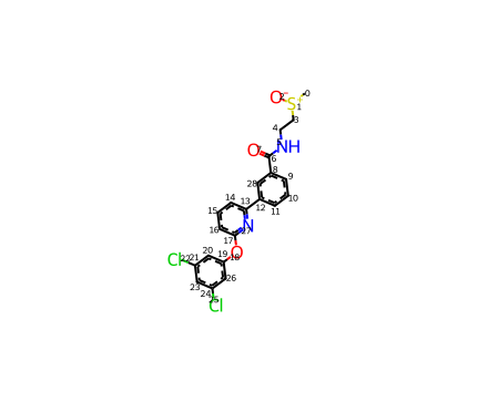 C[S+]([O-])CCNC(=O)c1cccc(-c2cccc(Oc3cc(Cl)cc(Cl)c3)n2)c1